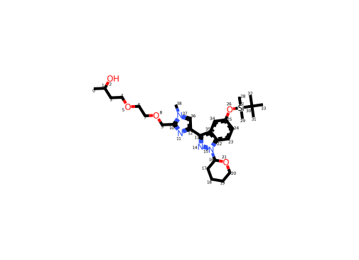 CC(O)CCOCCOCc1nc(-c2nn(C3CCCCO3)c3ccc(O[Si](C)(C)C(C)(C)C)cc23)cn1C